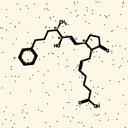 C[C@@H](CCCc1ccccc1)[C@H](O)/C=C/[C@H]1CCC(=O)N1C/C=C\CCCC(=O)O